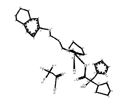 O=C(O[C@H]1C[N+]2(CCCOc3ccc4c(c3)CCCC4)CCC1CC2)[C@](O)(c1cccs1)C1CCCC1.O=C([O-])C(F)(F)F